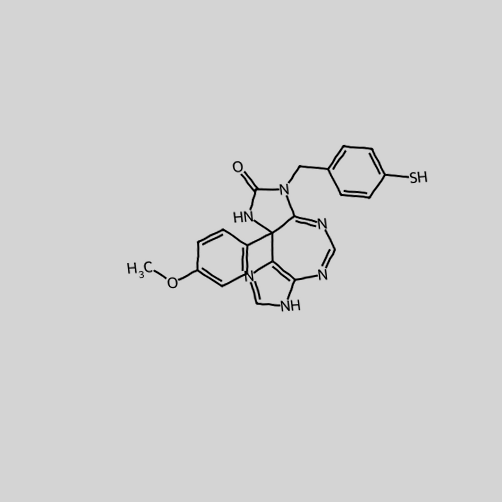 COc1ccc(C23NC(=O)N(Cc4ccc(S)cc4)C2=NC=Nc2[nH]cnc23)cc1